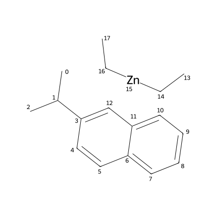 CC(C)c1ccc2ccccc2c1.C[CH2][Zn][CH2]C